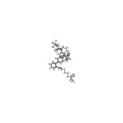 COC(=O)CCCCC#Cc1ccccc1-c1cccc(CC2C(NS(C)(=O)=O)CCCN2C(=O)OC(C)(C)C)c1